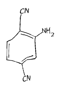 N#Cc1ccc(C#N)c(N)c1